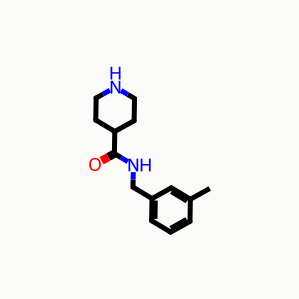 Cc1cccc(CNC(=O)C2CCNCC2)c1